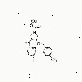 CC(C)(C)OC(=O)N1CC(Nc2ccc(F)cn2)C(OCc2ccc(C(F)(F)F)cc2)C1